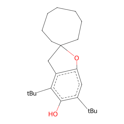 CC(C)(C)c1cc2c(c(C(C)(C)C)c1O)CC1(CCCCCCC1)O2